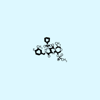 Cc1cc(CNC(=O)c2nc3n(c(=O)c2OS(=O)(=O)c2ccccc2)[C@@H](C)COCC3OS(C)(=O)=O)ccc1F